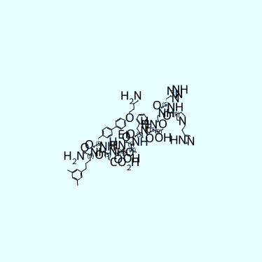 CCc1cc(OCCCCN)ccc1-c1ccc(C[C@H](NC(=O)[C@H](CC(=O)O)NC(=O)[C@H](CO)NC(=O)[C@@H](NC(=O)[C@](C)(Cc2ccccc2F)NC(=O)[C@@H](NC(=O)CNC(=O)[C@H](Cc2nn[nH]n2)NC(=O)[C@@H]2CCN(CCc3cnc[nH]3)C2)[C@@H](C)O)[C@@H](C)O)C(=O)N[C@@H](CCCc2cc(C)cc(C)c2)C(N)=O)cc1